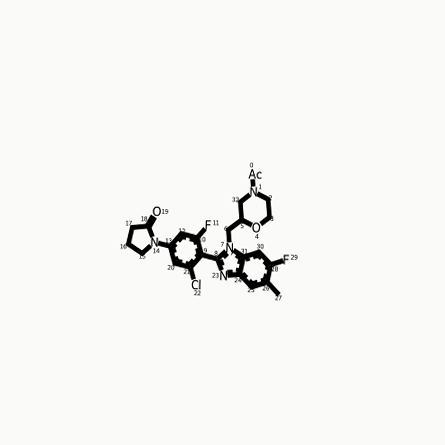 CC(=O)N1CCOC(Cn2c(-c3c(F)cc(N4CCCC4=O)cc3Cl)nc3cc(C)c(F)cc32)C1